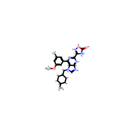 COc1cc(Cl)cc(-c2nc(-c3noc(=O)[nH]3)nc3ncn(CC4CCC(C)CC4)c23)c1